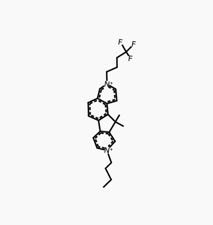 CCCC[n+]1ccc2c(c1)C(C)(C)c1c-2ccc2c[n+](CCCC(F)(F)F)ccc12